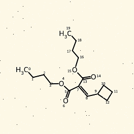 CCCCOC(=O)C(=CC1CCC1)C(=O)OCCCC